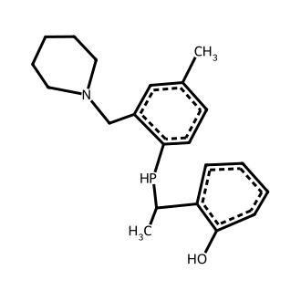 Cc1ccc(PC(C)c2ccccc2O)c(CN2CCCCC2)c1